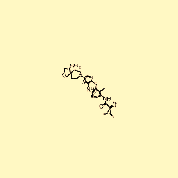 Cc1c(NC(=O)C(=O)N(C)C)cccc1Sc1ncc(N2CCC3(CC2)COCC3N)nc1N